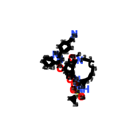 CN1CCCC/C=C\C2C[C@@]2(C(=O)NS(=O)(=O)C2CC2)NC(=O)[C@@H]2C[C@@H](Oc3nc(-c4ccc(C#N)cc4)nc4ccccc34)C[C@H]2C1=O